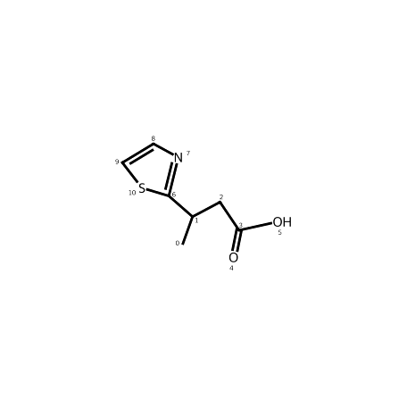 CC(CC(=O)O)c1nccs1